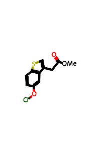 COC(=O)Cc1csc2ccc(OCl)cc12